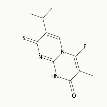 Cc1c(F)n2cc(C(C)C)c(=S)nc2[nH]c1=O